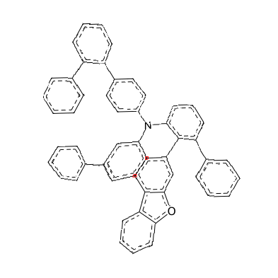 c1ccc(-c2cccc(N(c3ccc(-c4ccccc4-c4ccccc4)cc3)c3cccc(-c4ccccc4)c3-c3ccc4c(c3)oc3ccccc34)c2)cc1